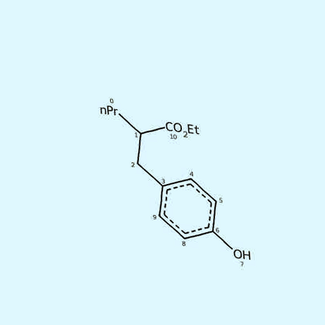 CCCC(Cc1ccc(O)cc1)C(=O)OCC